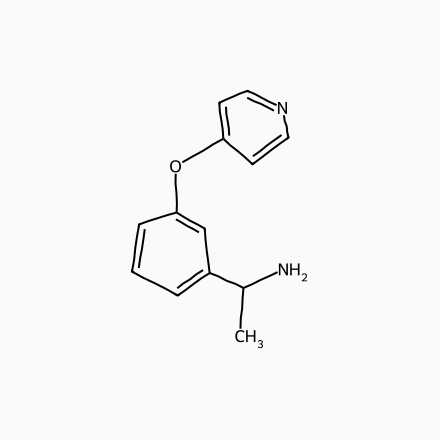 CC(N)c1cccc(Oc2ccncc2)c1